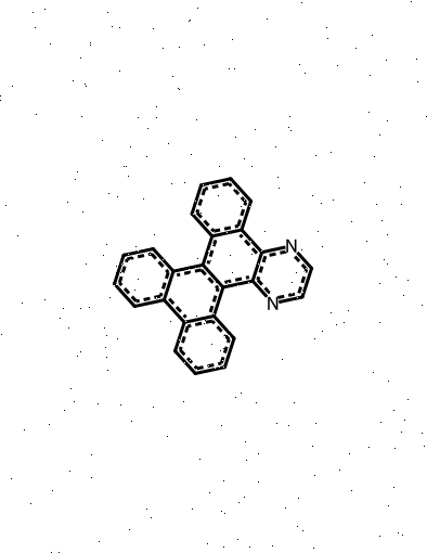 c1ccc2c(c1)c1ccccc1c1c3nccnc3c3ccccc3c21